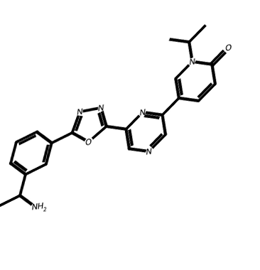 CC(N)c1cccc(-c2nnc(-c3cncc(-c4ccc(=O)n(C(C)C)c4)n3)o2)c1